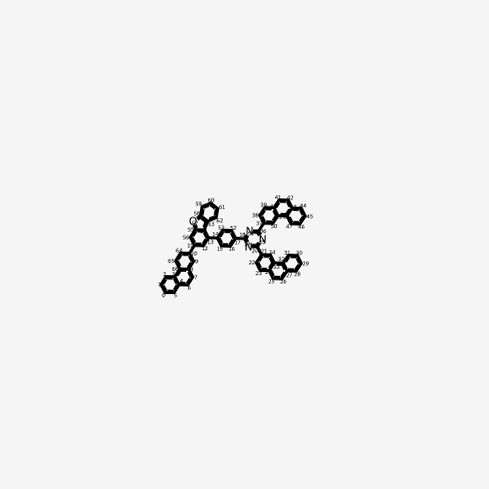 c1ccc2c(c1)ccc1cc(-c3cc(-c4ccc(-c5nc(-c6ccc7ccc8ccccc8c7c6)nc(-c6ccc7ccc8ccccc8c7c6)n5)cc4)c4c(c3)oc3ccccc34)ccc12